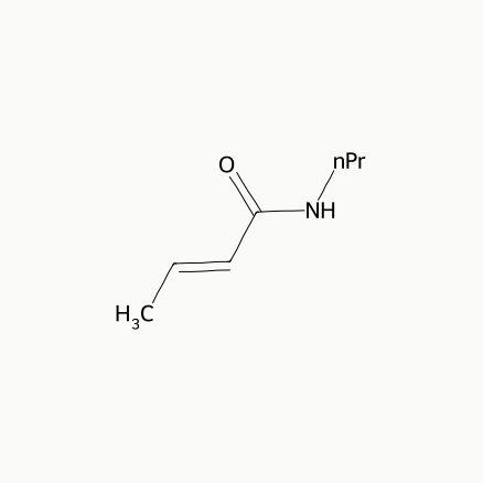 C/C=C/C(=O)NCCC